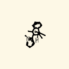 C[C@@H]1N(c2cccn2C)C2(C)CCC1(C)c1ccccc12